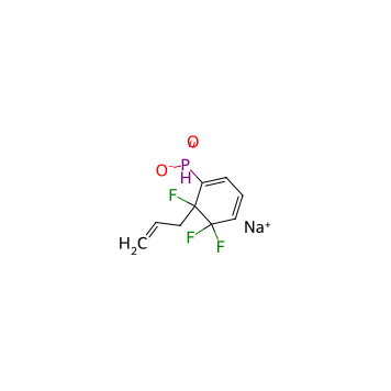 C=CCC1(F)C([PH](=O)[O-])=CC=CC1(F)F.[Na+]